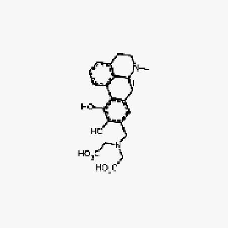 CN1CCc2cccc3c2[C@H]1Cc1cc(CN(CC(=O)O)CC(=O)O)c(O)c(O)c1-3